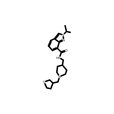 CC(C)n1cc2cccc(C(=O)NCC3CCN(CC4CCOC4)CC3)c2n1